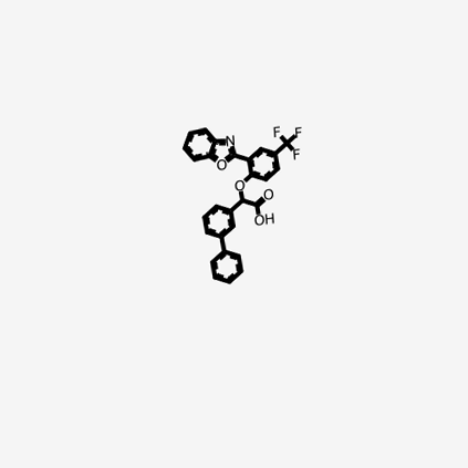 O=C(O)C(Oc1ccc(C(F)(F)F)cc1-c1nc2ccccc2o1)c1cccc(-c2ccccc2)c1